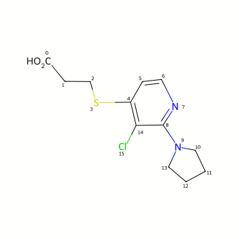 O=C(O)CCSc1ccnc(N2CCCC2)c1Cl